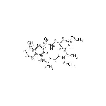 CCN(CC)CCCC(C)Nc1nc(C(=O)NCc2cccc(OC)c2)nc2c(C)cccc12